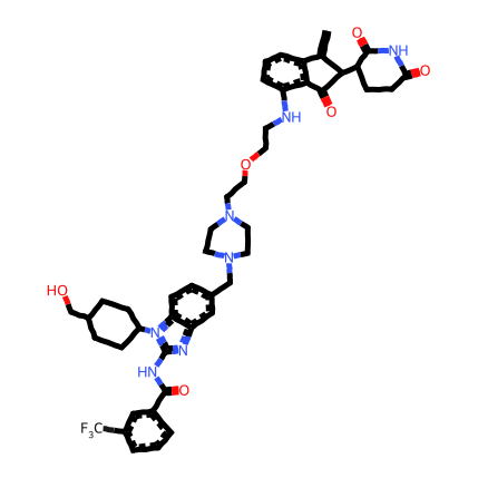 C=C1c2cccc(NCCOCCN3CCN(Cc4ccc5c(c4)nc(NC(=O)c4cccc(C(F)(F)F)c4)n5C4CCC(CO)CC4)CC3)c2C(=O)C1C1CCC(=O)NC1=O